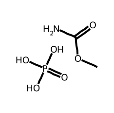 COC(N)=O.O=P(O)(O)O